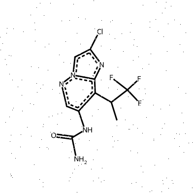 CC(c1c(NC(N)=O)cnn2cc(Cl)nc12)C(F)(F)F